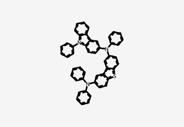 c1ccc(N(c2ccccc2)c2ccc3sc4ccc(N(c5ccccc5)c5ccc6c(c5)c5ccccc5n6-c5ccccc5)cc4c3c2)cc1